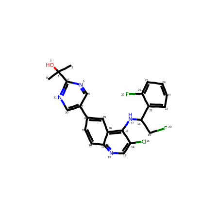 CC(C)(O)c1ncc(-c2ccc3ncc(Cl)c(NC(CF)c4ccccc4F)c3c2)cn1